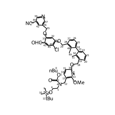 CCCCOC(=O)N(CCO[Si](C)(C)C(C)(C)C)Cc1ccc(OCc2cccc(-c3cccc(COc4cc(OCc5cncc(C#N)c5)c(C=O)cc4Cl)c3C)c2C)nc1OC